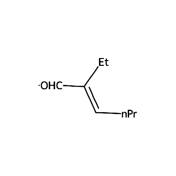 CCC/C=C(/[C]=O)CC